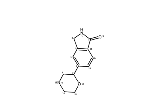 O=C1NCc2cc(C3CNCCO3)ccc21